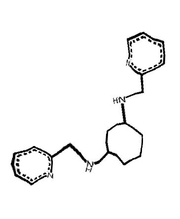 c1ccc(CNC2CCCC(NCc3ccccn3)C2)nc1